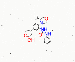 CCC(CC(=O)O)c1ccc(N2CCOC[C@@H]2C(C)C)c(NC(=O)Nc2ccc(C)cc2)c1